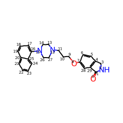 O=C1NCc2ccc(OCCCN3CCN(c4cccc5ccccc45)CC3)cc21